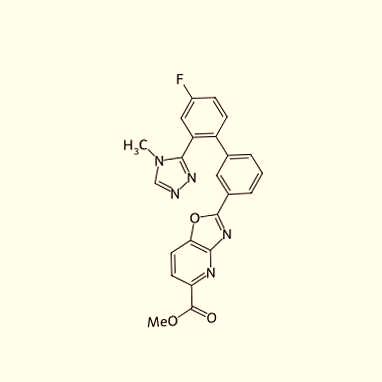 COC(=O)c1ccc2oc(-c3cccc(-c4ccc(F)cc4-c4nncn4C)c3)nc2n1